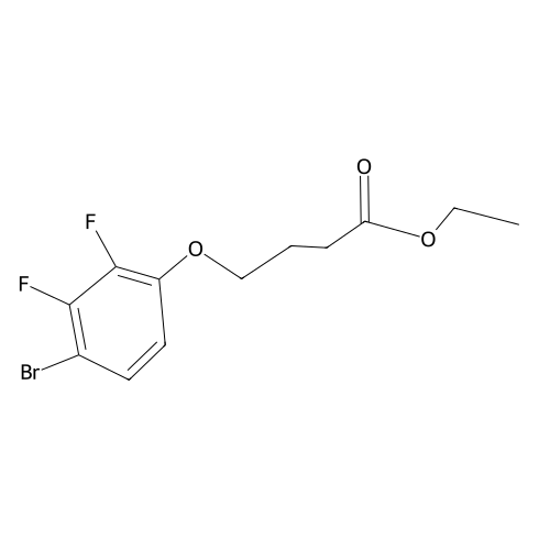 CCOC(=O)CCCOc1ccc(Br)c(F)c1F